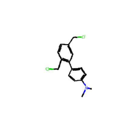 CN(C)c1ccc(-c2cc(CCl)ccc2CCl)cc1